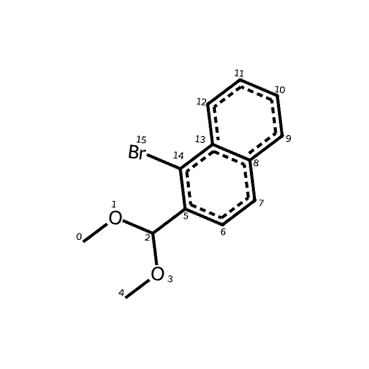 COC(OC)c1ccc2ccccc2c1Br